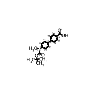 CN(C(=O)OC(C)(C)C)c1ccc(-c2ccc(C(=O)O)cc2)cc1